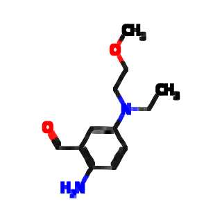 CCN(CCOC)c1ccc(N)c(C=O)c1